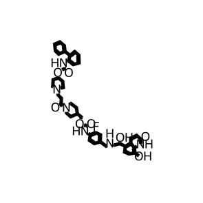 O=C(Nc1ccc(CNCC(O)c2ccc(O)c3[nH]c(=O)ccc23)cc1F)OCC1CCN(C(=O)CCN2CCC(OC(=O)Nc3ccccc3-c3ccccc3)CC2)CC1